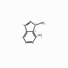 Cl.Nn1cnc2ccccc21